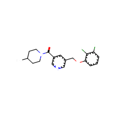 CC1CCN(C(=O)c2cncc(COc3cccc(Cl)c3Cl)c2)CC1